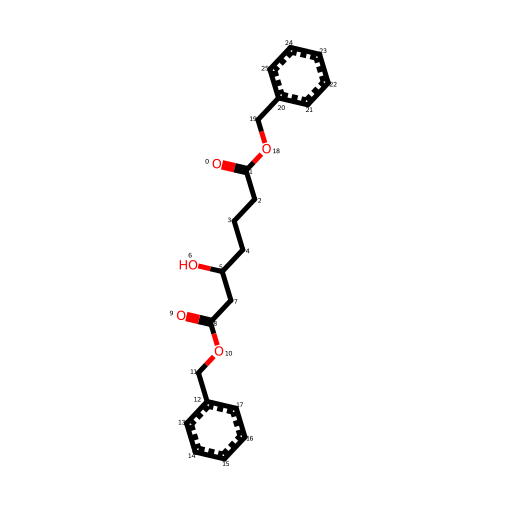 O=C(CCCC(O)CC(=O)OCc1ccccc1)OCc1ccccc1